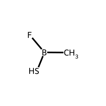 CB(F)S